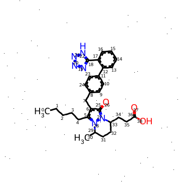 CCCCCc1c(Cc2ccc(-c3ccccc3-c3nnn[nH]3)cc2)c(=O)n2n1C(C)CCC2CCC(=O)O